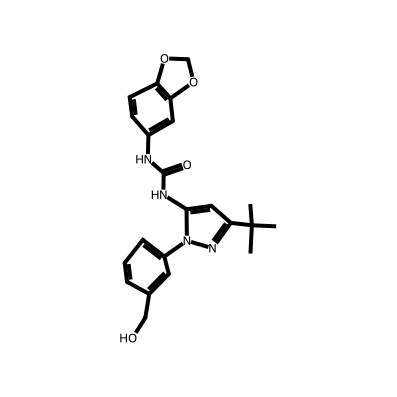 CC(C)(C)c1cc(NC(=O)Nc2ccc3c(c2)OCO3)n(-c2cccc(CO)c2)n1